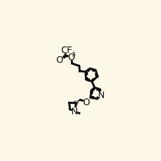 CN1CC[C@H]1COc1cncc(-c2cccc(CCCOC(=O)C(F)(F)F)c2)c1